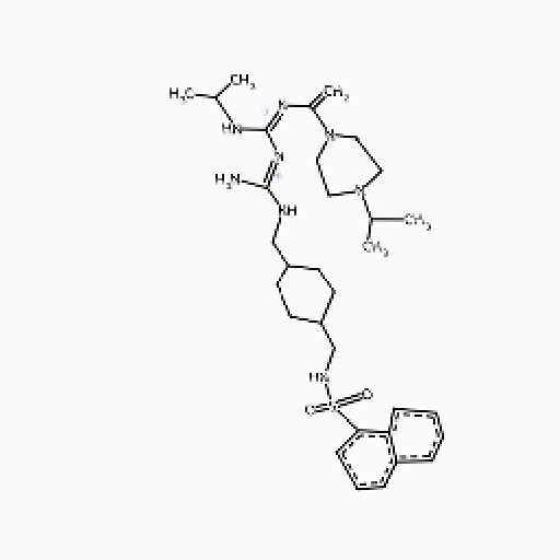 C=C(/N=C(\N=C(/N)NCC1CCC(CNS(=O)(=O)c2cccc3ccccc23)CC1)NC(C)C)N1CCN(C(C)C)CC1